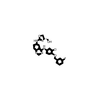 OC[C@H]1COC(Nc2ccc3ncnc(Nc4ccc(OCc5cccc(F)c5)c(Cl)c4)c3c2)=N1